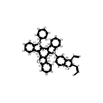 C=Cc1c(/C=C\C)sc2ccc(-n3c4ccccc4c4c5c(c6ccccc6n5-c5ccccc5)c5oc6ccccc6c5c43)cc12